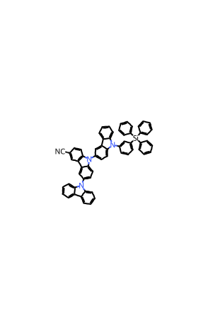 N#Cc1ccc2c(c1)c1cc(-n3c4ccccc4c4ccccc43)ccc1n2-c1ccc2c(c1)c1ccccc1n2-c1cccc([Si](c2ccccc2)(c2ccccc2)c2ccccc2)c1